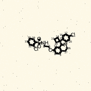 O=S(=O)(NCCOc1ccc2c(c1)C(C1(c3ccc(Cl)cc3)CCC1)=NCC2)c1ccccc1Cl